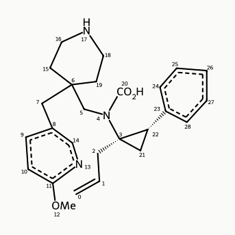 C=CC[C@@]1(N(CC2(Cc3ccc(OC)nc3)CCNCC2)C(=O)O)C[C@H]1c1ccccc1